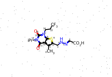 Cc1c(CN/N=C/C(=O)O)sc2c1c(=O)n(C(C)C)c(=O)n2CCC(F)(F)F